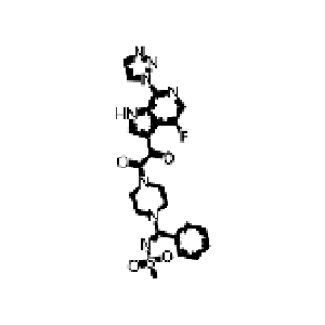 CS(=O)(=O)/N=C(\c1ccccc1)N1CCN(C(=O)C(=O)c2c[nH]c3c(-n4ccnn4)ncc(F)c23)CC1